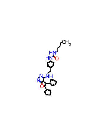 CCCCCNC(=O)Nc1ccc(CCNc2ncnc3oc(-c4ccccc4)c(-c4ccccc4)c23)cc1